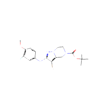 COc1ccc(Nc2nn3c(c2Br)CN(C(=O)OC(C)(C)C)CC3)cc1F